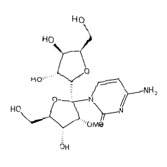 CO[C@@H]1[C@H](O)[C@@H](CO)O[C@@]1(C1O[C@H](CO)[C@H](O)[C@H]1O)n1ccc(N)nc1=O